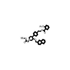 CC(=O)Oc1ccccc1C(=O)OCCc1ccc(C2CCN(OC(=O)OC(C)(C)C)CC2OCc2ccc3ccccc3c2)cc1